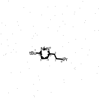 CC(C)CCc1ccc(C(C)(C)C)nn1